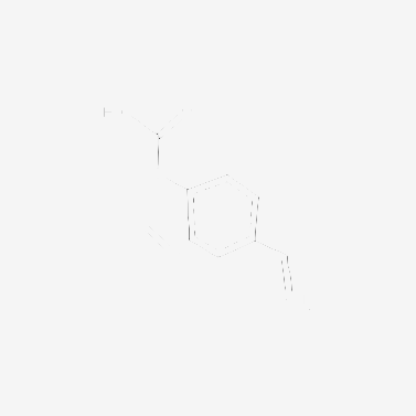 C=Cc1ccc(OC(C)=O)cc1.O=P